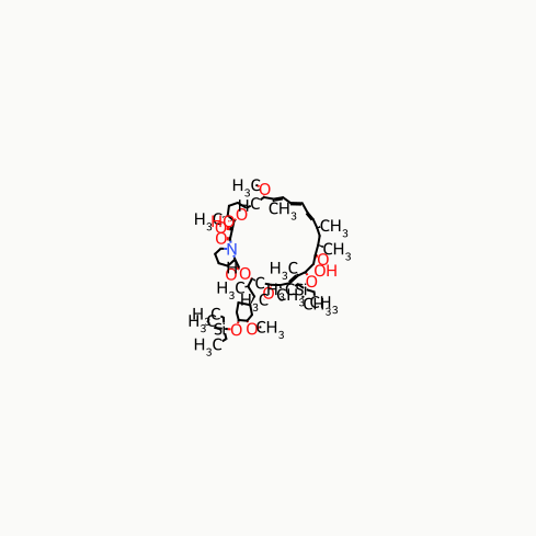 CC[Si](CC)(CC)OC1CC[C@@H](C[C@@H](C)[C@@H]2C[C@@H](OC)[C@H](C)/C=C(\C)C(O[Si](CC)(CC)CC)[C@@H](O)C(=O)[C@H](C)C[C@H](C)/C=C/C=C/C=C(\C)[C@@H](OC)C[C@@H]3CC[C@@H](C)[C@@](O)(O3)C(=O)C(=O)N3CCCC[C@H]3C(=O)O2)C[C@H]1OC